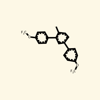 [CH2]c1ccc(-c2ccc(OC(F)(F)F)cc2)cc1-c1ccc(OC(F)(F)F)cc1